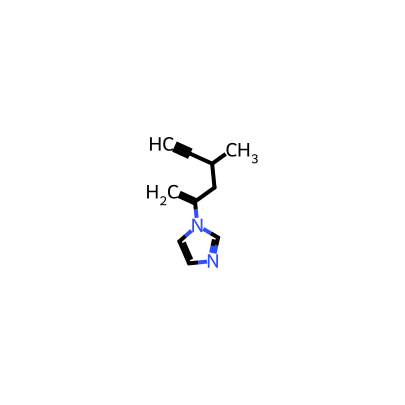 C#CC(C)CC(=C)n1ccnc1